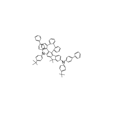 CC(C)(C)c1ccc(N(c2ccc(-c3ccccc3)cc2)c2ccc3c(c2)C(C)(C)c2cc(N(c4ccc(-c5ccccc5)cc4)c4ccc(C(C)(C)C)cc4)c4c(c2-3)-c2ccccc2-c2ccccc2-c2ccccc2-4)cc1